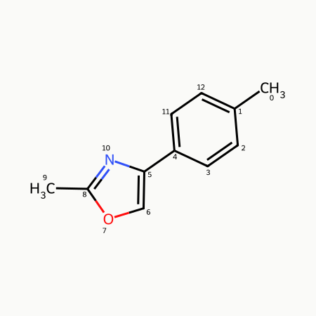 Cc1ccc(-c2coc(C)n2)cc1